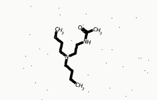 CCCCN(CCCC)CCNC(C)=O